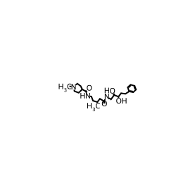 CC(CCNC(=O)C1CCN(C)CC1)CC(=O)NCC(=O)C(O)CCc1ccccc1